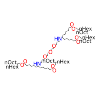 CCCCCCCCC(CCCCCC)COC(=O)CCCCCC(CCCCCC(=O)OCC(CCCCCC)CCCCCCCC)NCCCOCCOCCOCCCNC(CCCCCC(=O)OCC(CCCCCC)CCCCCCCC)CCCCCC(=O)OCC(CCCCCC)CCCCCCCC